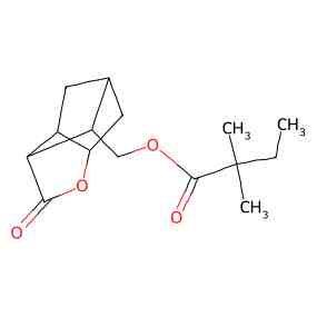 CCC(C)(C)C(=O)OCC1C2CC3OC(=O)C1C3C2